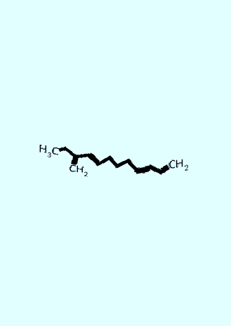 C=CC=CCCCC=CC(=C)CC